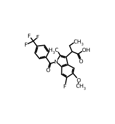 CCC(C(=O)O)c1c(C)n(C(=O)c2ccc(C(F)(F)F)cc2)c2cc(F)c(OC)cc12